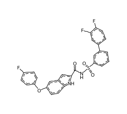 O=C(NS(=O)(=O)c1cccc(-c2ccc(F)c(F)c2)c1)c1cc2cc(Oc3ccc(F)cc3)ccc2[nH]1